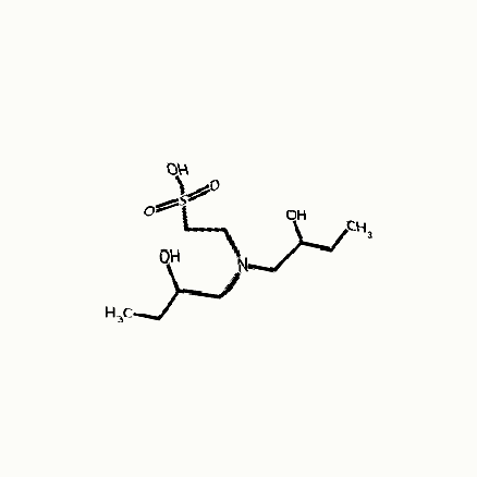 CCC(O)CN(CCS(=O)(=O)O)CC(O)CC